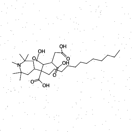 CCCCCCCCCCCCC(C(=O)O)(C1CC(C)(C)N(C)C(C)(C)C1)C(C(=O)O)C(CC(=O)O)C(=O)O